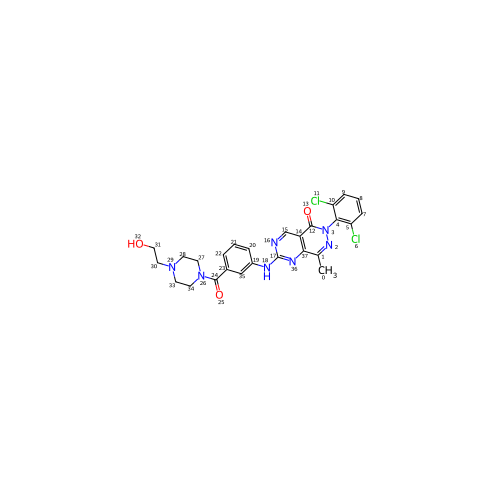 Cc1nn(-c2c(Cl)cccc2Cl)c(=O)c2cnc(Nc3cccc(C(=O)N4CCN(CCO)CC4)c3)nc12